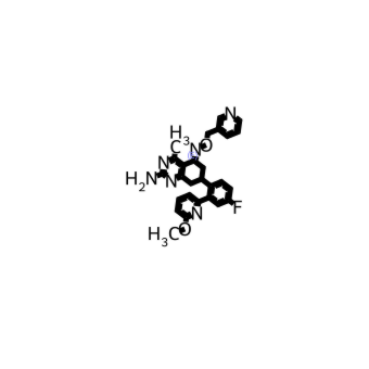 COc1cccc(-c2cc(F)ccc2C2C/C(=N\OCc3cccnc3)c3c(C)nc(N)nc3C2)n1